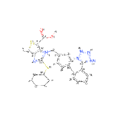 COC(=O)c1sc(C)c2nc(SC3CCCCC3)n(Cc3ccc(-c4ccccc4-c4nnn[nH]4)cc3)c12